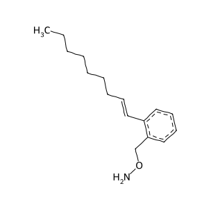 CCCCCCCC=Cc1ccccc1CON